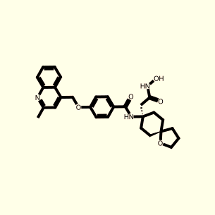 Cc1cc(COc2ccc(C(=O)N[C@]3(CC(=O)NO)CC[C@]4(CCCO4)CC3)cc2)c2ccccc2n1